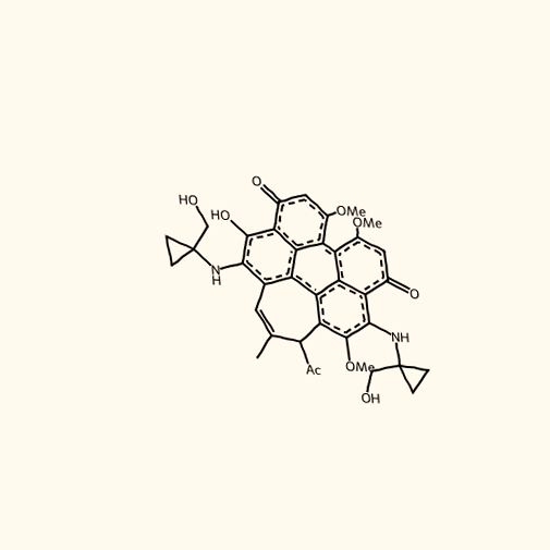 COc1c(NC2(CO)CC2)c2c(=O)cc(OC)c3c4c(OC)cc(=O)c5c(O)c(NC6(CO)CC6)c6c(c(c1C(C(C)=O)C(C)=C6)c23)c54